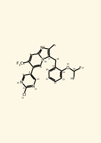 Cc1nc2cc(C(F)(F)F)c(-c3cnc(Cl)nc3)cn2c1Cc1ccccc1OC(F)F